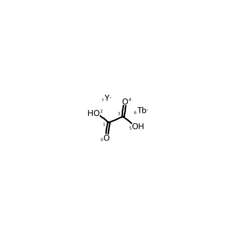 O=C(O)C(=O)O.[Tb].[Y]